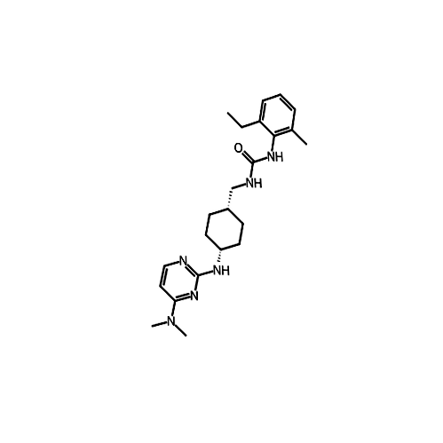 CCc1cccc(C)c1NC(=O)NC[C@H]1CC[C@@H](Nc2nccc(N(C)C)n2)CC1